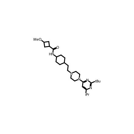 COC1CC(C(=O)NC2CCC(CCN3CCN(c4cc(C(C)C)nc(C(C)(C)C)n4)CC3)CC2)C1